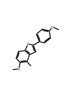 COc1ccc(-c2cc3c(C)c(OC)ccc3o2)cc1